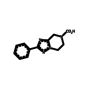 O=C(O)N1CCn2nc(-c3ccccc3)nc2C1